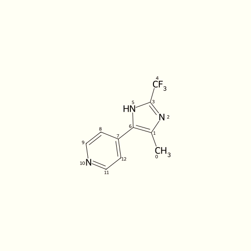 Cc1nc(C(F)(F)F)[nH]c1-c1ccncc1